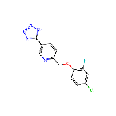 Fc1cc(Cl)ccc1OCc1ccc(-c2nnn[nH]2)cn1